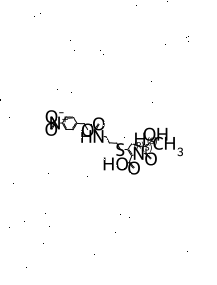 C[C@H](O)[C@H]1C(=O)N2C(C(=O)O)=C(SCCCNC(=O)OCc3ccc([N+](=O)[O-])cc3)C[C@H]12